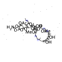 C/C=C/[C@H]1O[C@@](O)([C@@H](C)[C@H](O)[C@H](C)[C@H]2OC(=O)/C(OC)=C/C(C)=C/[C@@H](C)[C@@H](O)[C@@H](C)[C@@H](O)[C@H](C)C/C(C)=C/C=C/[C@@H]2OC)C[C@@H](O[C@@H]2C[C@H](OC(C)=O)[C@@H](OC(N)=O)[C@H](C)O2)[C@@H]1C